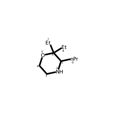 CCCC1NCCOC1(CC)CC